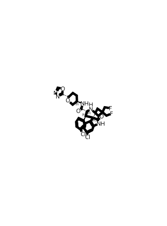 O=C(N[C@@H]1CC[C@@H](c2nnco2)OC1)[C@@H]1NC2(CC(CF)(CF)C2)[C@@]2(C(=O)Nc3cc(Cl)ccc32)[C@H]1c1cccc(Cl)c1